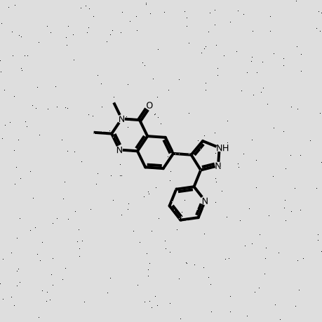 Cc1nc2ccc(-c3c[nH]nc3-c3ccccn3)cc2c(=O)n1C